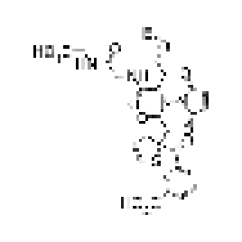 CCOCCC(C(=O)NCC(=O)NCC(=O)O)N(C(=O)CC1(C(=O)c2cccc(C(=O)O)c2)CC=CS1)N1C(=O)C=CC1=O